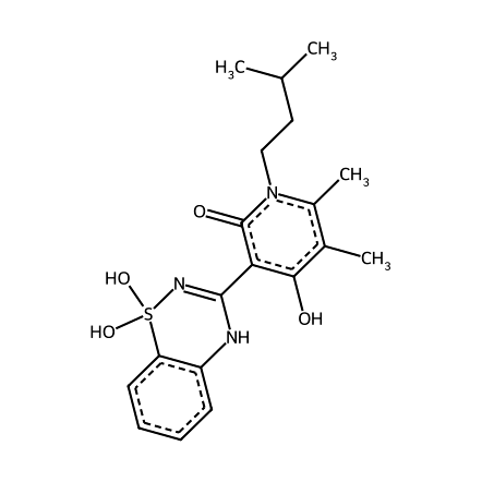 Cc1c(O)c(C2=NS(O)(O)c3ccccc3N2)c(=O)n(CCC(C)C)c1C